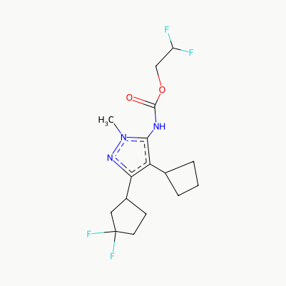 Cn1nc(C2CCC(F)(F)C2)c(C2CCC2)c1NC(=O)OCC(F)F